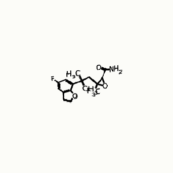 CC(C)(CC1(C(F)(F)F)O[C@@H]1C(N)=O)c1cc(F)cc2c1OCC2